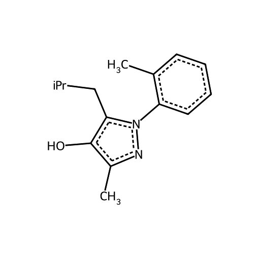 Cc1ccccc1-n1nc(C)c(O)c1CC(C)C